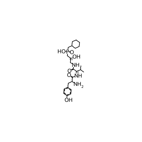 CC(C)[C@H](NC(=O)C(N)Cc1ccc(O)cc1)C(=O)NC[C@@H](O)CP(=O)(O)CC1CCCCC1